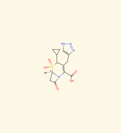 O=C(O)C1=C(Cc2c[nH]nn2)C(C2CC2)S(=O)(=O)[C@@H]2CC(=O)N12